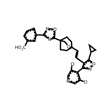 O=C(O)c1cccc(-c2noc(C34CCC(C=Cc5c(-c6c(Cl)cncc6Cl)noc5C5CC5)(CC3)OC4)n2)c1